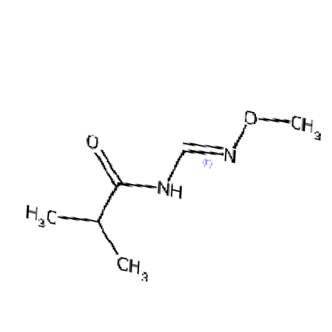 CO/N=C/NC(=O)C(C)C